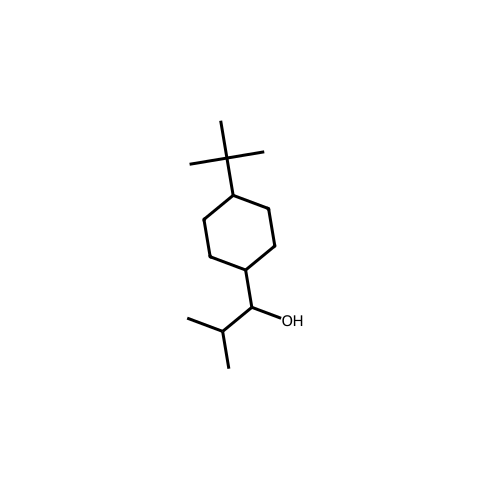 CC(C)C(O)C1CCC(C(C)(C)C)CC1